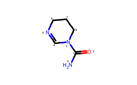 NC(=O)N1[C]=NCCC1